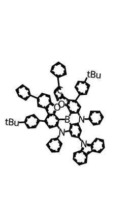 CC(C)(C)c1ccc(-c2cc3c(c4oc5ccc(-c6ccccc6)cc5c24)B2c4c(cc(-n5c6ccccc6c6ccccc65)cc4N(c4ccccc4)c4cc(-c5ccc(C(C)(C)C)cc5)c5c(oc6ccc(-c7ccccc7)cc65)c42)N3c2ccccc2)cc1